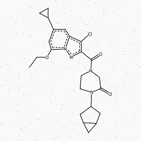 CCOc1cc(C2CC2)cc2c(Cl)c(C(=O)N3CCN(C4CC5CC5C4)C(=O)C3)nn12